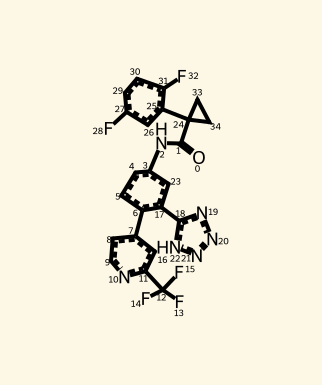 O=C(Nc1ccc(-c2ccnc(C(F)(F)F)c2)c(-c2nnn[nH]2)c1)C1(c2cc(F)ccc2F)CC1